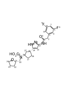 O=C(Cc1cc(F)cc(F)c1)Nc1cc([C@@H]2CC[C@H](N(C[C@@H]3CCCO3)C(=O)O)C2)[nH]n1